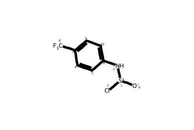 [O-][S+](Cl)Nc1ccc(C(F)(F)F)cc1